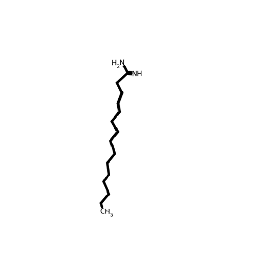 CCCCCCCCCCCCCCC(=N)N